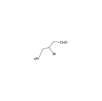 CCCCC(Br)C[C]=O